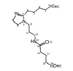 CCCCCCCCCCCCCCC1=NCCN1CCCNC(=O)CCCCCCCCCCCCC